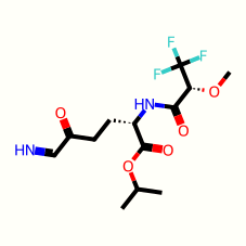 CO[C@H](C(=O)N[C@@H](CCC(=O)C=N)C(=O)OC(C)C)C(F)(F)F